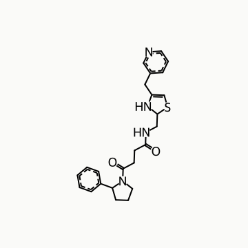 O=C(CCC(=O)N1CCCC1c1ccccc1)NCC1NC(Cc2cccnc2)=CS1